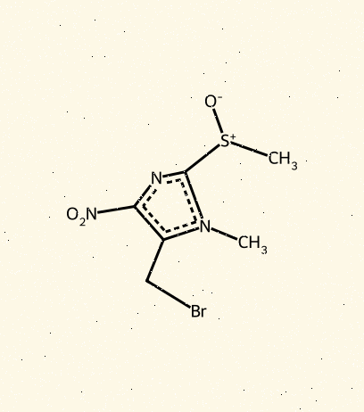 Cn1c([S+](C)[O-])nc([N+](=O)[O-])c1CBr